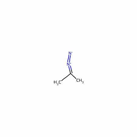 [CH2]C(C)=[N+]=[N-]